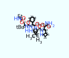 CCNC(=O)OC[C@@H](NC(=O)N[C@H](C(=O)N1CC2C([C@H]1C(=O)NC(CC1CCC1)C(=O)C(N)=O)C2(C)C)C1CCCCC1)C(C)(C)C